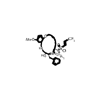 COc1ccc2c(c1)CNC[C@@H](O)[C@H](Cc1ccccc1)NC(=O)[C@@H](N(C)S(=O)(=O)CCC(F)(F)F)CCC=CCO2